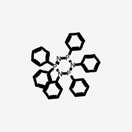 c1ccc(N2P(c3ccccc3)N=P(c3ccccc3)(c3ccccc3)N(c3ccccc3)P2c2ccccc2)cc1